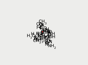 CCN(CC)CC.CCN(CC)CC.Cn1cnc2c(c(F)cn2[C@@H]2O[C@@H]3COP(=O)(S)O[C@H]4[C@@H](O)[C@H](n5cnc6c(N)ncnc65)O[C@@H]4COP(=O)(O)O[C@@H]2[C@@H]3O)c1=O